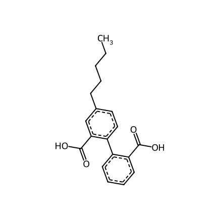 CCCCCc1ccc(-c2ccccc2C(=O)O)c(C(=O)O)c1